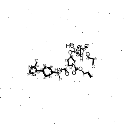 C=CCOC(=O)N1C[C@H](O[PH](O)(O)OP(=O)(O)OCCC)C[C@H]1C(=O)N[C@@H](C)c1ccc(-c2scnc2C)cc1